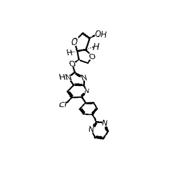 O[C@@H]1CO[C@H]2[C@@H]1OC[C@H]2Oc1nc2nc(-c3ccc(-c4ncccn4)cc3)c(Cl)cc2[nH]1